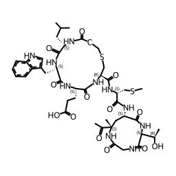 CSC[C@@H](NC(=O)[C@@H]1CSCCC(=O)N[C@@H](CC(C)C)C(=O)N[C@@H](Cc2c[nH]c3ccccc23)C(=O)N[C@@H](CCC(=O)O)C(=O)N1)C(=O)N[C@H]1C[C@@](C)(C(C)=O)NC(=O)CNC(=O)[C@H]([C@@H](C)O)NC1=O